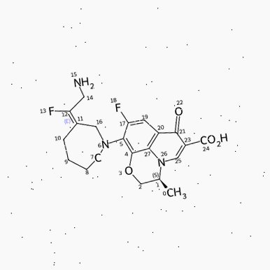 C[C@H]1COc2c(N3CCCC/C(=C(\F)CN)C3)c(F)cc3c(=O)c(C(=O)O)cn1c23